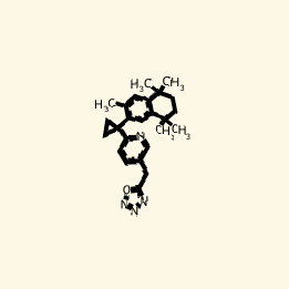 Cc1cc2c(cc1C1(c3ccc(Cc4nnno4)cn3)CC1)C(C)(C)CCC2(C)C